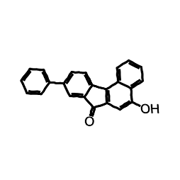 O=C1c2cc(-c3ccccc3)ccc2-c2c1cc(O)c1ccccc21